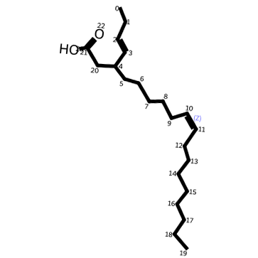 CCC=CC(CCCCC/C=C\CCCCCCCC)CC(=O)O